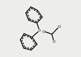 ClC(Cl)Cl.c1ccc(Oc2ccccc2)cc1